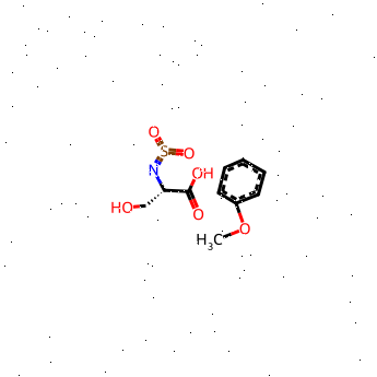 COc1ccccc1.O=C(O)[C@H](CO)N=S(=O)=O